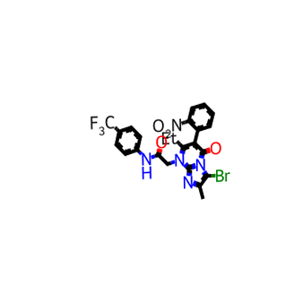 CCc1c(-c2ccccc2[N+](=O)[O-])c(=O)n2c(Br)c(C)nc2n1CC(=O)Nc1ccc(C(F)(F)F)cc1